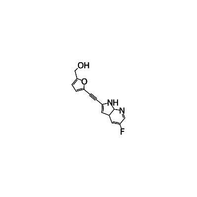 OCc1ccc(C#CC2=CC3C=C(F)C=NC3N2)o1